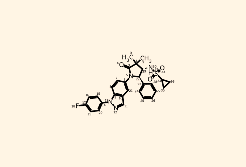 CC1(C)C(=O)N(c2ccc3c(cnn3-c3ccc(F)cc3)c2)[C@H](c2ccccc2)[C@H]1NS(=O)(=O)C1CC1